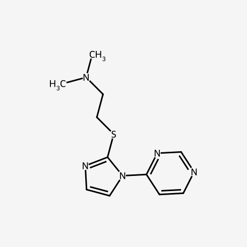 CN(C)CCSc1nccn1-c1ccncn1